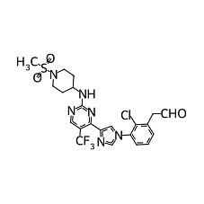 CS(=O)(=O)N1CCC(Nc2ncc(C(F)(F)F)c(-c3cn(-c4cccc(CC=O)c4Cl)cn3)n2)CC1